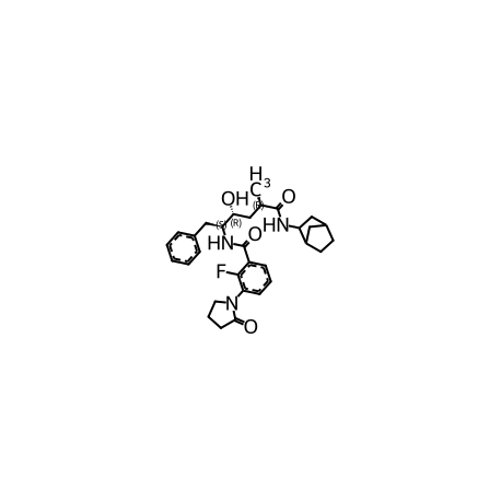 C[C@H](C[C@@H](O)[C@H](Cc1ccccc1)NC(=O)c1cccc(N2CCCC2=O)c1F)C(=O)NC1CC2CCC1C2